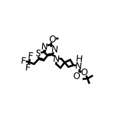 COc1nc(N2CCC3(CC(NC(=O)OC(C)(C)C)C3)C2)c2cc(CC(F)(F)F)sc2n1